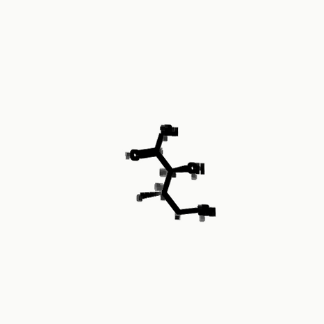 C[C@@H](CC(C)(C)C)[C@H](O)C(=O)C(C)(C)C